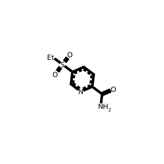 CCS(=O)(=O)c1ccc(C(N)=O)nc1